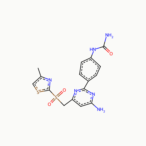 Cc1csc(S(=O)(=O)Cc2cc(N)nc(-c3ccc(NC(N)=O)cc3)n2)n1